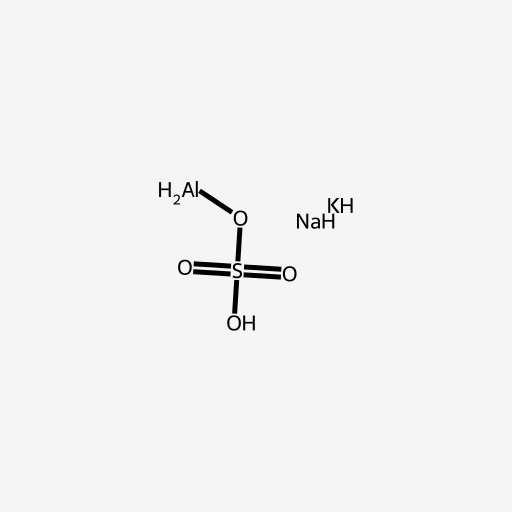 O=S(=O)(O)[O][AlH2].[KH].[NaH]